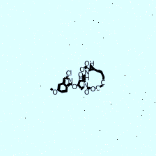 COc1ccc2c(OC3C[C@H]4C(=O)N[C@]5(C(=O)O)CC5/C=C\CCCCOC(=O)N4C3)nc(Cl)cc2c1